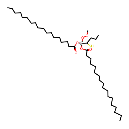 CCCCCCCCCCCCCCCCCC(=O)O[Si](OOC)(OC(=O)CCCCCCCCCCCCCCCCC)C(S)CCC